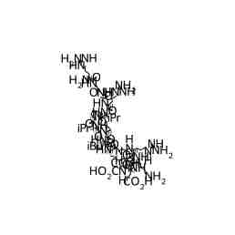 CC[C@H](C)[C@H](NC(=O)[C@@H]1CCCN1C(=O)[C@H](CC(C)C)NC(=O)[C@@H]1CCCN1C(=O)[C@@H](NC(=O)[C@H](CCCNC(=N)N)NC(=O)CNC(=O)CNC(=O)[C@@H](N)CCCNC(=N)N)C(C)C)C(=O)N[C@@H](CCC(=O)O)C(=O)NCC(=O)N[C@@H](CCCNC(=N)N)C(=O)N[C@@H](CCCCN)C(=O)N[C@@H](CCC(=O)O)C(=O)NCC(=O)O